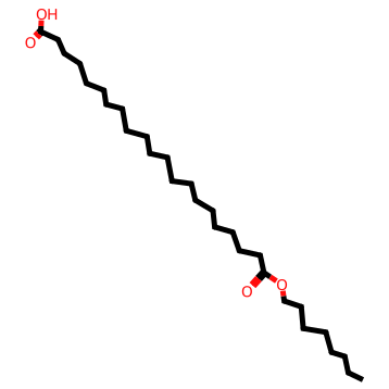 CCCCCCCCOC(=O)CCCCCCCCCCCCCCCCCCCC(=O)O